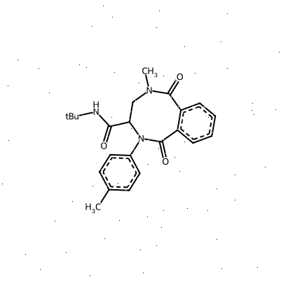 Cc1ccc(N2C(=O)c3ccccc3C(=O)N(C)CC2C(=O)NC(C)(C)C)cc1